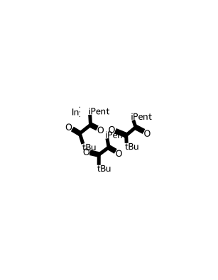 CCCC(C)C(=O)C(=O)C(C)(C)C.CCCC(C)C(=O)C(=O)C(C)(C)C.CCCC(C)C(=O)C(=O)C(C)(C)C.[In]